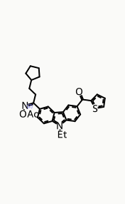 CCn1c2ccc(C(=O)c3cccs3)cc2c2cc(/C(CCC3CCCC3)=N\OC(C)=O)ccc21